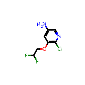 Nc1cnc(Cl)c(OCC(F)F)c1